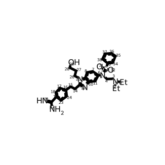 CCN(CC)CCN(c1ccc2c(c1)nc(CCc1ccc(C(=N)N)cc1)n2CCCO)S(=O)(=O)c1ccccc1